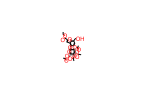 CCOC(=O)c1cc2c(O[C@@H]3O[C@H](COC(C)=O)[C@H](OC(C)=O)[C@H](OC(C)=O)[C@H]3OC(C)=O)ccc(CO)c2o1